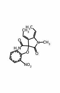 C/C=C1\C(=C/C)C(Oc2ccccc2[N+](=O)[O-])(C(N)=O)C(=O)N1C